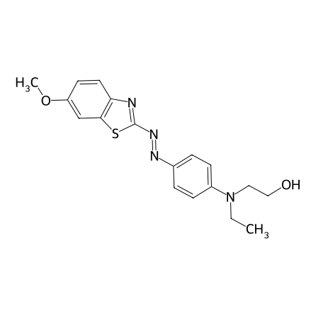 CCN(CCO)c1ccc(N=Nc2nc3ccc(OC)cc3s2)cc1